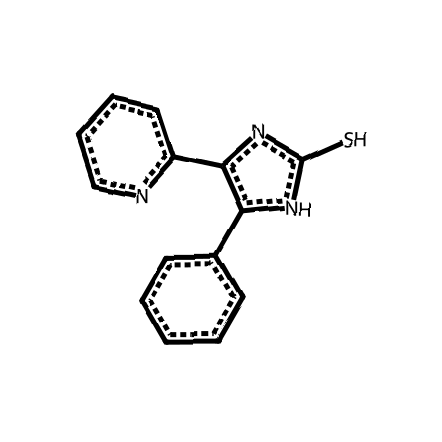 Sc1nc(-c2ccccn2)c(-c2ccccc2)[nH]1